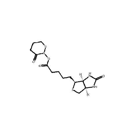 O=C1N[C@H]2[C@H](CS[C@H]2CCCCC(=O)ON2OCCCC2=O)N1